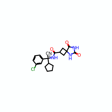 N#C[C@](NC(=O)C1CC2(C1)NC(=O)NC2=O)(c1cccc(Cl)c1)C1CCCC1